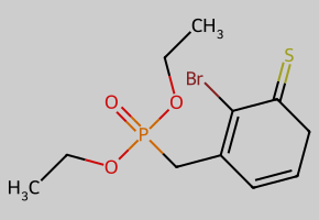 CCOP(=O)(CC1=C(Br)C(=S)CC=C1)OCC